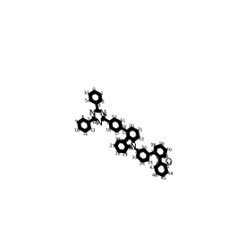 c1ccc(-c2nc(-c3ccccc3)nc(-c3ccc(-c4cccc5c4c4ccccc4n5-c4cccc(-c5cccc6oc7ccccc7c56)c4)cc3)n2)cc1